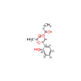 CCC(=O)OC[C@H](OC(C)=O)c1ccccc1O